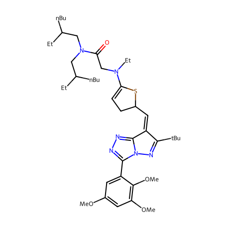 CCCCC(CC)CN(CC(CC)CCCC)C(=O)CN(CC)C1=CCC(/C=c2/c(C(C)(C)C)nn3c(-c4cc(OC)cc(OC)c4OC)nnc23)S1